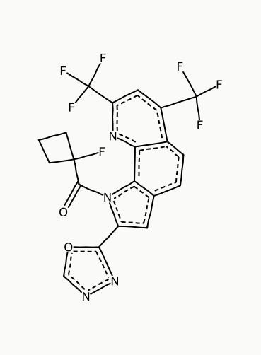 O=C(n1c(-c2nnco2)cc2ccc3c(C(F)(F)F)cc(C(F)(F)F)nc3c21)C1(F)CCC1